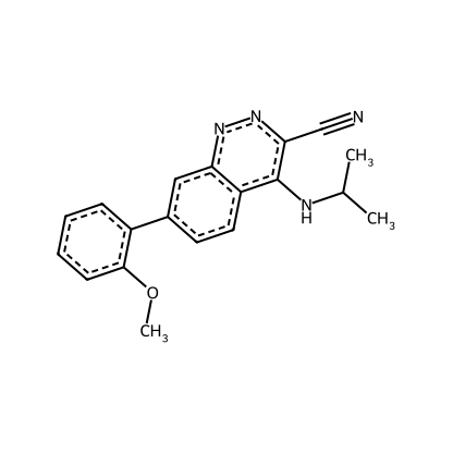 COc1ccccc1-c1ccc2c(NC(C)C)c(C#N)nnc2c1